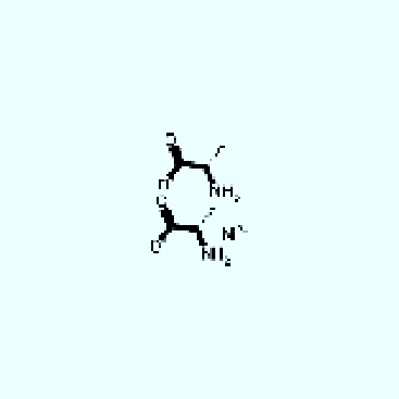 C[C@H](N)C(=O)[O-].C[C@H](N)C(=O)[O-].[Ni+2]